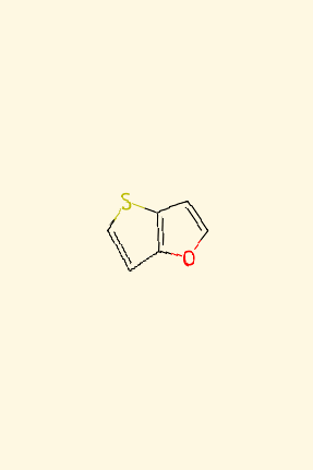 c1cc2sccc2o1